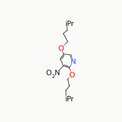 CC(C)CCCOc1cnc(OCCCC(C)C)c([N+](=O)[O-])c1